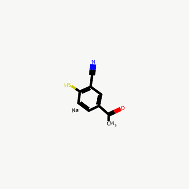 CC(=O)c1ccc(S)c(C#N)c1.[Na]